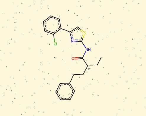 [CH2]C[C@H](C[CH]c1ccccc1)C(=O)Nc1nc(-c2ccccc2Cl)cs1